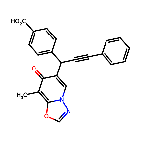 Cc1c(=O)c(C(C#Cc2ccccc2)c2ccc(C(=O)O)cc2)cn2ncoc12